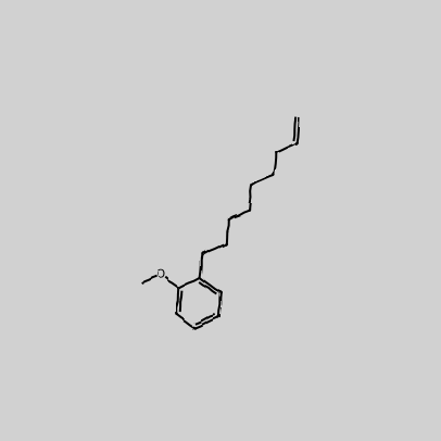 C=CCCCCCCCc1ccccc1OC